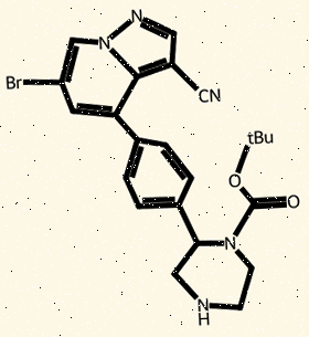 CC(C)(C)OC(=O)N1CCNCC1c1ccc(-c2cc(Br)cn3ncc(C#N)c23)cc1